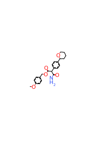 COc1ccc(COC(=O)C(C(N)=O)c2ccc(C3CCCCO3)cc2)cc1